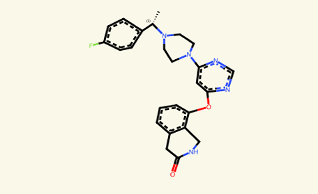 C[C@@H](c1ccc(F)cc1)N1CCN(c2cc(Oc3cccc4c3CNC(=O)C4)ncn2)CC1